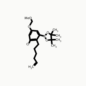 C=CCCCCc1c(Cl)cc(OCOC)cc1B1OC(C)(C)C(C)(C)O1